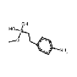 CO[Si](O)(O)CCc1ccc(N)cc1